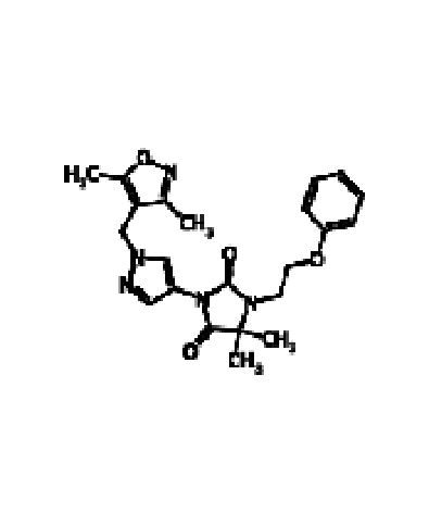 Cc1noc(C)c1Cn1cc(N2C(=O)N(CCOc3ccccc3)C(C)(C)C2=O)cn1